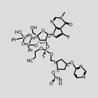 CC(C)[Si](O)(O[Si](O[C@H]1[C@H](OP(=S)(OCCC#N)OC[C@H]2C[C@@H](Oc3ccncn3)C[C@@H]2O[PH](=O)O)[C@H](n2cc(F)c3c(=O)n(C)cnc32)O[C@@H]1CO)(C(C)C)C(C)C)C(C)C